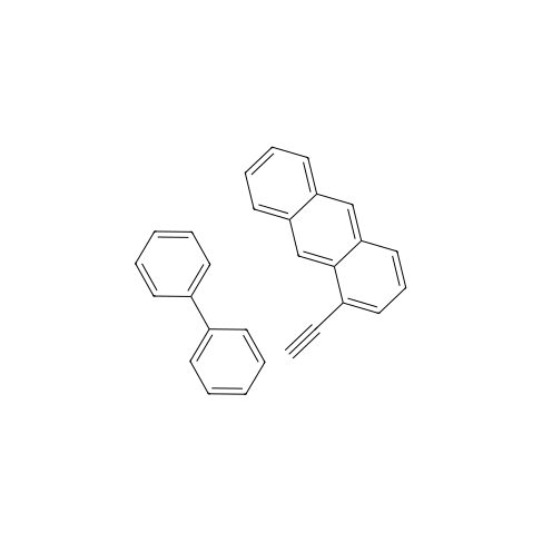 C#Cc1cccc2cc3ccccc3cc12.c1ccc(-c2ccccc2)cc1